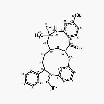 CC(C)CN1c2cccc(n2)SN2CC(CCC1c1ccccc1)CC(C)(C)Nc1nc(C(C)(C)C)ccc1C2=O